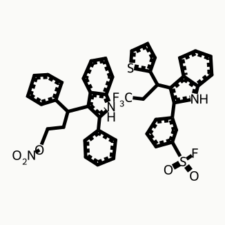 O=S(=O)(F)c1cccc(-c2[nH]c3ccccc3c2C(CC(F)(F)F)c2cccs2)c1.O=[N+]([O-])OCCC(c1ccccc1)c1c(-c2ccccc2)[nH]c2ccccc12